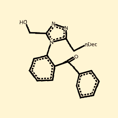 CCCCCCCCCCCc1nnc(CO)n1-c1ccccc1C(=O)c1ccccc1